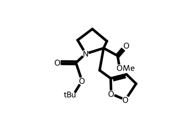 COC(=O)C1(CC2=CCOO2)CCCN1C(=O)OC(C)(C)C